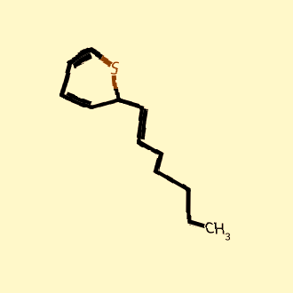 CCCCCC=CC1C=CC=CS1